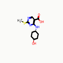 CSc1ncc(C(=O)O)c(N[C@H]2CC[C@H](O)CC2)n1